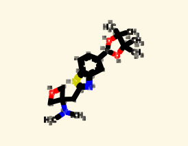 CN(C)C1(Cc2nc3cc(B4OC(C)(C)C(C)(C)O4)ccc3s2)COC1